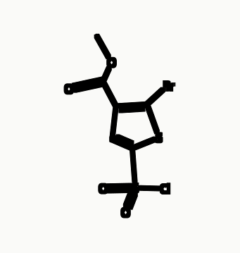 COC(=O)c1cc(S(=O)(=O)Cl)sc1Br